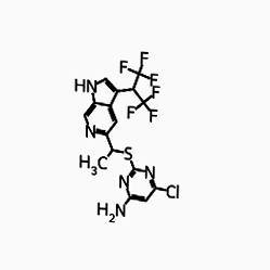 CC(Sc1nc(N)cc(Cl)n1)c1cc2c(C(C(F)(F)F)C(F)(F)F)c[nH]c2cn1